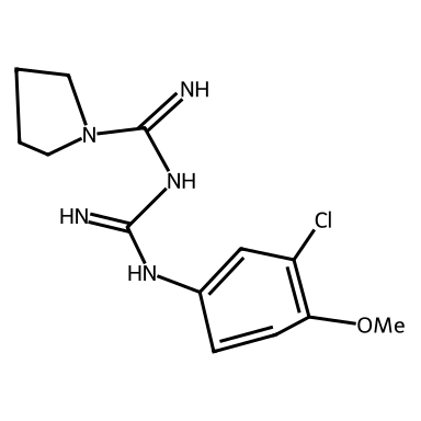 COc1ccc(NC(=N)NC(=N)N2CCCC2)cc1Cl